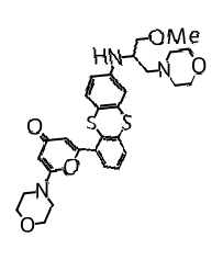 COCC(CN1CCOCC1)Nc1ccc2c(c1)Sc1cccc(-c3cc(=O)cc(N4CCOCC4)o3)c1S2